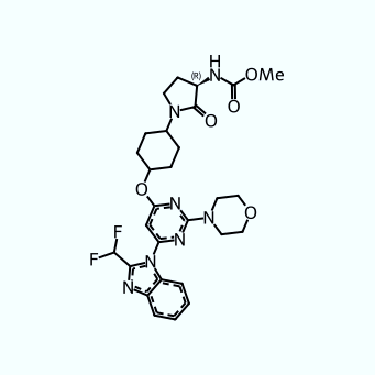 COC(=O)N[C@@H]1CCN(C2CCC(Oc3cc(-n4c(C(F)F)nc5ccccc54)nc(N4CCOCC4)n3)CC2)C1=O